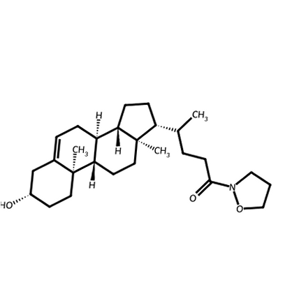 CC(CCC(=O)N1CCCO1)[C@H]1CC[C@H]2[C@@H]3CC=C4C[C@@H](O)CC[C@]4(C)[C@H]3CC[C@]12C